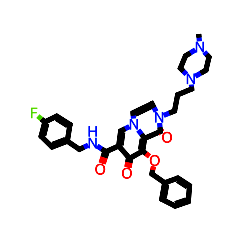 CN1CCN(CCCn2ccn3cc(C(=O)NCc4ccc(F)cc4)c(=O)c(OCc4ccccc4)c3c2=O)CC1